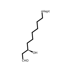 CCCCCCCCCCCCC[C@@H](O)CC=O